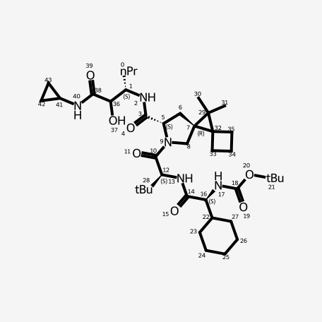 CCC[C@H](NC(=O)[C@@H]1C[C@@]2(CN1C(=O)[C@@H](NC(=O)[C@@H](NC(=O)OC(C)(C)C)C1CCCCC1)C(C)(C)C)C(C)(C)C21CCC1)C(O)C(=O)NC1CC1